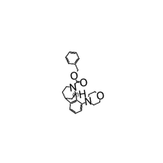 O=C(OCc1ccccc1)N1CCC2C[C@@H]1c1c2cccc1N1CCOCC1